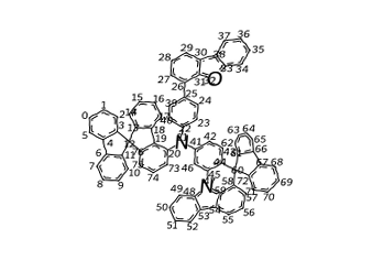 c1ccc2c(c1)-c1ccccc1C21c2ccccc2-c2c(N(c3ccc(-c4cccc5c4oc4ccccc45)cc3)c3ccc4c(c3)-n3c5ccccc5c5cccc(c53)C43c4ccccc4-c4ccccc43)cccc21